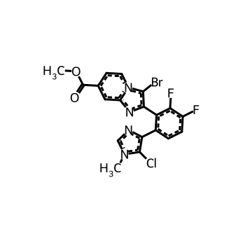 COC(=O)c1ccn2c(Br)c(-c3c(-c4ncn(C)c4Cl)ccc(F)c3F)nc2c1